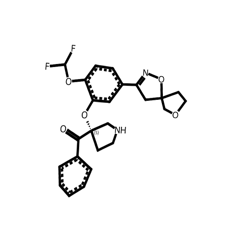 O=C(c1ccccc1)[C@]1(Oc2cc(C3=NOC4(CCOC4)C3)ccc2OC(F)F)CCNC1